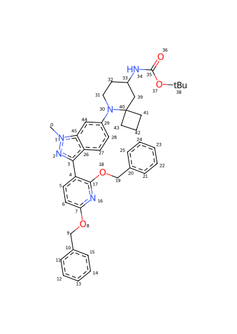 Cn1nc(-c2ccc(OCc3ccccc3)nc2OCc2ccccc2)c2ccc(N3CCC(NC(=O)OC(C)(C)C)CC34CCC4)cc21